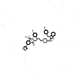 COc1ccc(-n2cnnn2)cc1C(=O)N(C)CC(CCN1CCC(Nc2nc3ccccc3n2Cc2ccc(F)cc2)CC1)c1ccc(F)cc1